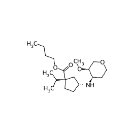 CCCCOC(=O)[C@@]1(C(C)C)CC[C@@H](N[C@@H]2CCOC[C@@H]2OC)C1